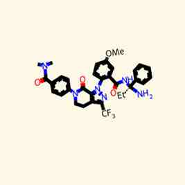 CC[C@](N)(NC(=O)c1cc(OC)ccc1-n1nc(C(F)(F)F)c2c1C(=O)N(c1ccc(C(=O)N(C)C)cc1)CC2)c1ccccc1